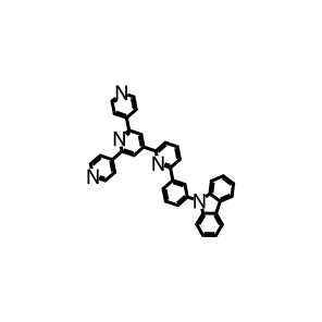 c1cc(-c2cccc(-c3cc(-c4ccncc4)nc(-c4ccncc4)c3)n2)cc(-n2c3ccccc3c3ccccc32)c1